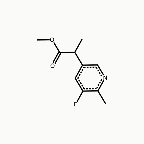 COC(=O)C(C)c1cnc(C)c(F)c1